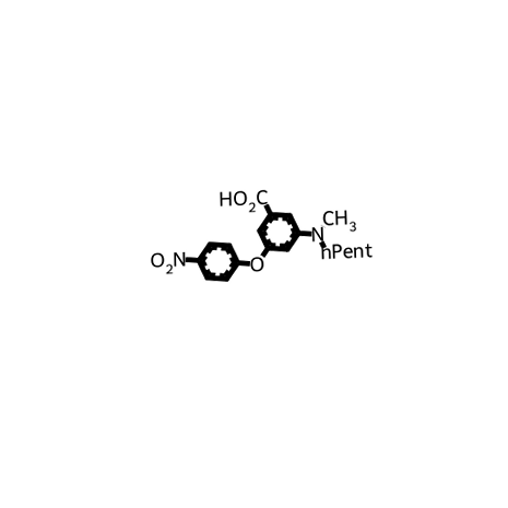 CCCCCN(C)c1cc(Oc2ccc([N+](=O)[O-])cc2)cc(C(=O)O)c1